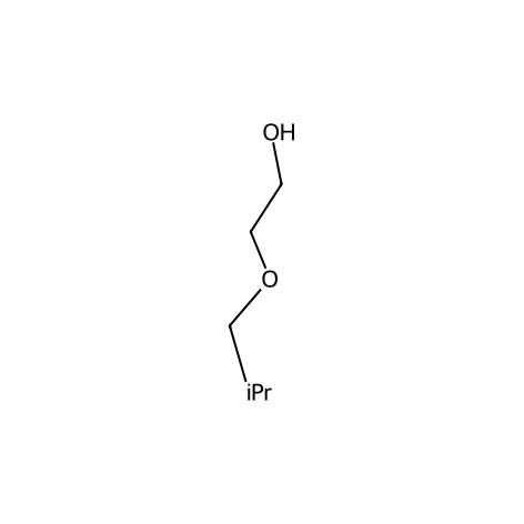 CC(C)COCCO